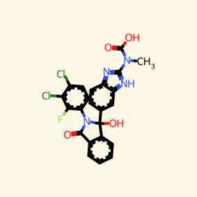 CN(C(=O)O)c1nc2ccc(C3(O)c4ccccc4C(=O)N3c3ccc(Cl)c(Cl)c3F)cc2[nH]1